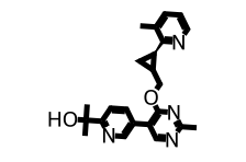 Cc1ncc(-c2ccc(C(C)(C)O)nc2)c(OCC2C[C@H]2c2ncccc2C)n1